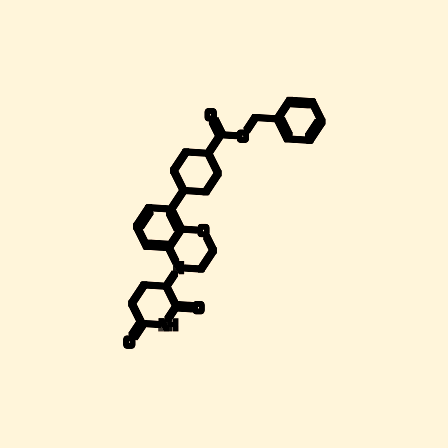 O=C1CCC(N2CCOc3c(C4CCC(C(=O)OCc5ccccc5)CC4)cccc32)C(=O)N1